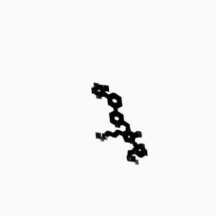 CCCCc1cn(-c2nncn2CC)c(=O)n1Cc1cc(-c2cccc(-c3nnn[nH]3)c2)ccn1